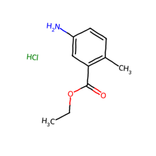 CCOC(=O)c1cc(N)ccc1C.Cl